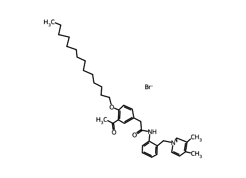 CCCCCCCCCCCCCCOc1ccc(CC(=O)Nc2ccccc2C[n+]2ccc(C)c(C)c2)cc1C(C)=O.[Br-]